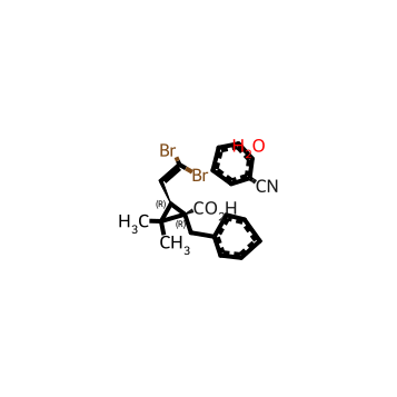 CC1(C)[C@@H](C=C(Br)Br)[C@@]1(Cc1ccccc1)C(=O)O.N#Cc1ccccc1.O